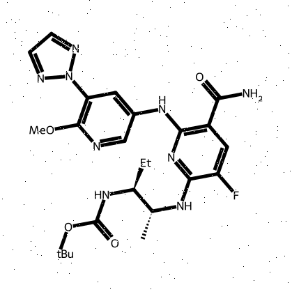 CC[C@H](NC(=O)OC(C)(C)C)[C@@H](C)Nc1nc(Nc2cnc(OC)c(-n3nccn3)c2)c(C(N)=O)cc1F